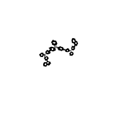 c1ccc(N(c2ccc(-c3ccc(N(c4ccccc4)c4ccc(-c5cccc6ccccc56)cc4)cc3)cc2)c2ccc(-c3ccc(N(c4ccccc4)c4ccc(-c5cccc6ccccc56)cc4)cc3)cc2)cc1